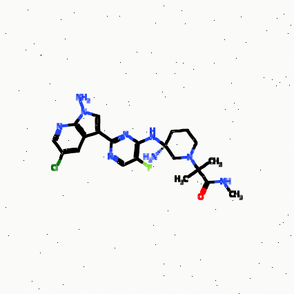 CNC(=O)C(C)(C)N1CCC[C@](N)(Nc2nc(-c3cn(N)c4ncc(Cl)cc34)ncc2F)C1